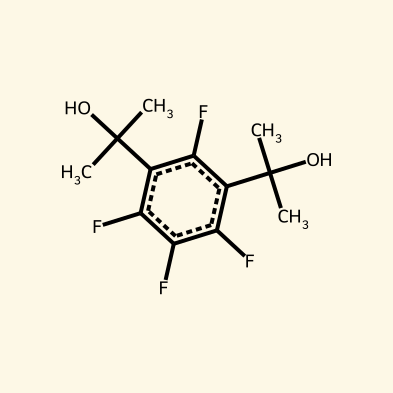 CC(C)(O)c1c(F)c(F)c(F)c(C(C)(C)O)c1F